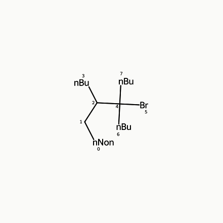 CCCCCCCCCCC(CCCC)C(Br)(CCCC)CCCC